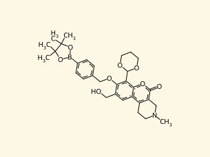 CN1CCc2c(c(=O)oc3c(C4OCCCO4)c(OCc4ccc(B5OC(C)(C)C(C)(C)O5)cc4)c(CO)cc23)C1